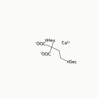 CCCCCCCCCCCCC(CCCCCC)(C(=O)[O-])C(=O)[O-].[Ca+2]